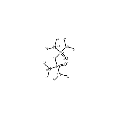 CN(C)P(=O)(CP(=O)(N(C)C)N(C)C)N(C)C